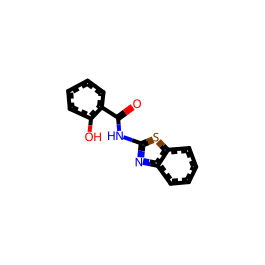 O=C(Nc1nc2ccccc2s1)c1ccccc1O